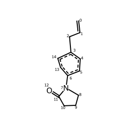 C=CCc1ccc(N2CCCC2=O)cc1